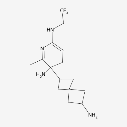 CC1=NC(NCC(F)(F)F)=CCC1(N)C1CC2(CC(N)C2)C1